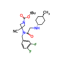 CC(C)(C)OC(=O)N1CC(C#N)(N(Cc2ccc(F)c(F)c2)C(=O)CN[C@H]2CC[C@H](C)CC2)C1